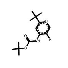 CC(C)(C)OC(=O)Nc1cc(C(C)(C)C)ncc1F